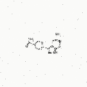 NC(=O)c1ccc(-c2c[nH]c3cnc(N)cc23)cc1